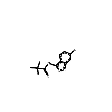 CC(C)(C)C(=O)Nc1noc2cc(Br)ccc12